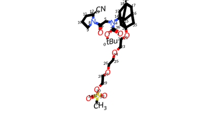 CC(C)(C)OC(=O)N(CC(=O)N1CCC[C@H]1C#N)C12CC3C[C@H](CC(OCCOCCOCCOS(C)(=O)=O)(C3)C1)C2